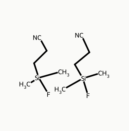 C[Si](C)(F)CCC#N.C[Si](C)(F)CCC#N